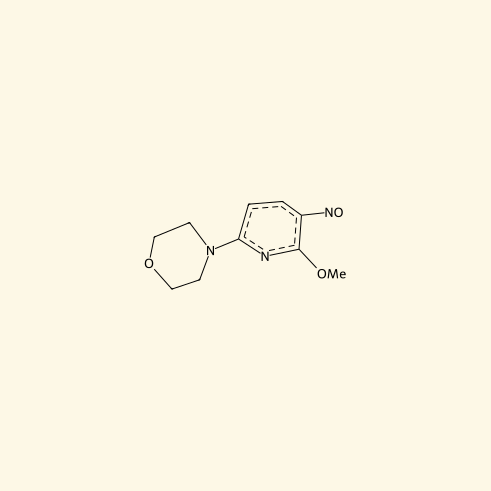 COc1nc(N2CCOCC2)ccc1N=O